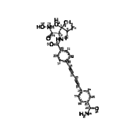 CC(O)(C(F)F)C(NC(=O)c1ccc(C#CC#Cc2ccc(C(N)=O)cc2)cc1)C(=O)NO